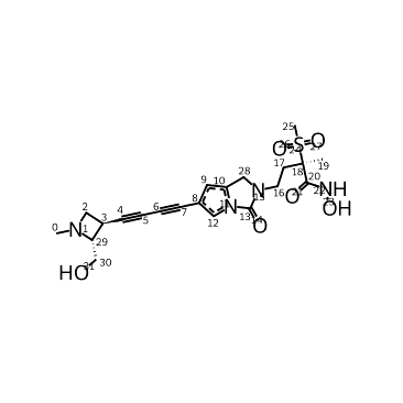 CN1C[C@@H](C#CC#Cc2cc3n(c2)C(=O)N(CC[C@](C)(C(=O)NO)S(C)(=O)=O)C3)[C@@H]1CO